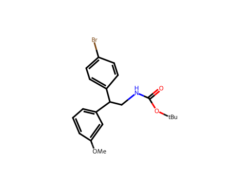 COc1cccc(C(CNC(=O)OC(C)(C)C)c2ccc(Br)cc2)c1